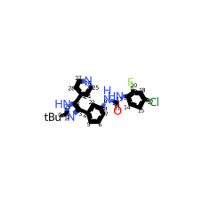 CC(C)(C)c1nc(-c2cccc(NC(=O)Nc3ccc(Cl)cc3F)c2)c(-c2ccncc2)[nH]1